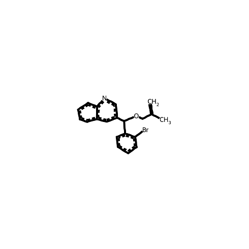 C=C(C)COC(c1cnc2ccccc2c1)c1ccccc1Br